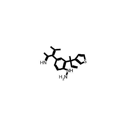 C=CC(C)(c1ccsc1)c1cc(C(C(C)=N)=C(C)C)ccc1NN